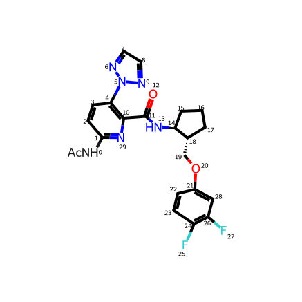 CC(=O)Nc1ccc(-n2nccn2)c(C(=O)N[C@H]2CCC[C@@H]2COc2ccc(F)c(F)c2)n1